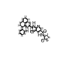 O=C(NC1CCSC1=O)c1cnc(NNC(=S)N[C@@H]2c3ccccc3CC[C@H]2c2ccccc2)c(Cl)c1